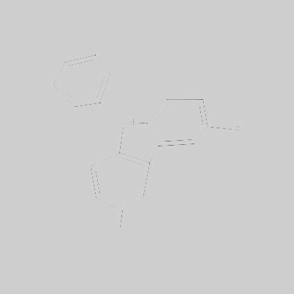 Fc1ccc2c(c1)-c1cc(F)ccc1[SH]2c1ccccc1